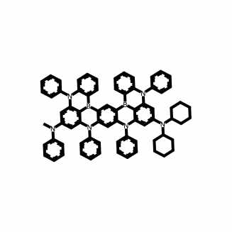 CN(c1ccccc1)c1cc2c3c(c1)N(c1ccccc1)c1cc4c(cc1B3c1ccccc1N2c1ccccc1)B1c2ccccc2N(c2ccccc2)c2cc(N(C3CCCCC3)C3CCCCC3)cc(c21)N4c1ccccc1